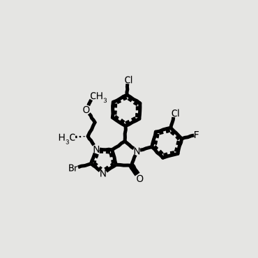 COC[C@@H](C)n1c(Br)nc2c1C(c1ccc(Cl)cc1)N(c1ccc(F)c(Cl)c1)C2=O